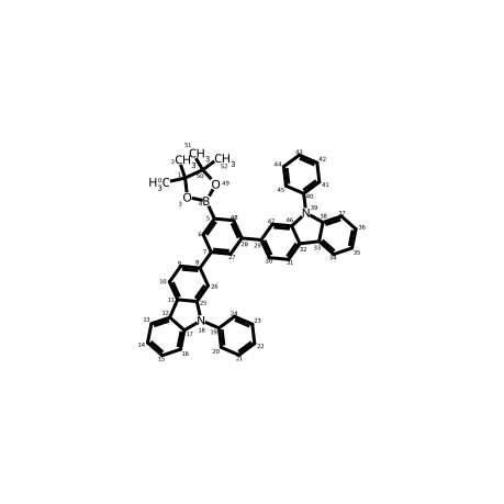 CC1(C)OB(c2cc(-c3ccc4c5ccccc5n(-c5ccccc5)c4c3)cc(-c3ccc4c5ccccc5n(-c5ccccc5)c4c3)c2)OC1(C)C